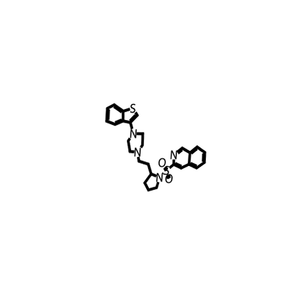 O=S(=O)(c1cc2ccccc2cn1)N1CCCC1CCN1CCN(c2csc3ccccc23)CC1